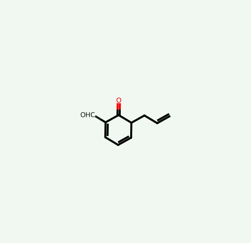 C=CCC1C=CC=C(C=O)C1=O